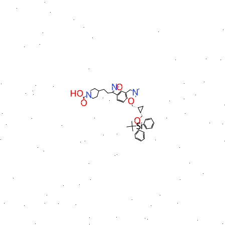 CN(C)Cc1c(OC[C@@H]2C[C@@H]2CO[Si](c2ccccc2)(c2ccccc2)C(C)(C)C)ccc2c(CCC3CCN(C(=O)O)CC3)noc12